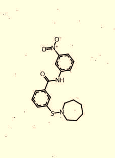 O=C(Nc1cccc([N+](=O)[O-])c1)c1cccc(SN2CCCCCC2)c1